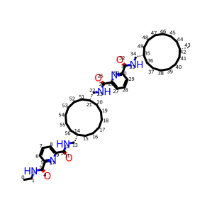 CCNC(=O)c1cccc(C(=O)NC[C@H]2CCCCCC[C@@H](CNC(=O)c3cccc(C(=O)NC[C@H]4CCCCCC[C@@H](C)CCCCCC4)n3)CCCCCC2)n1